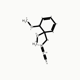 COC1C=CC=CC1(CN=C=S)OC